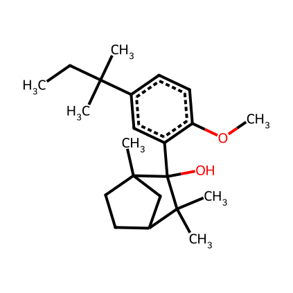 CCC(C)(C)c1ccc(OC)c(C2(O)C3(C)CCC(C3)C2(C)C)c1